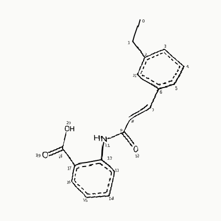 CCc1cccc(C=CC(=O)Nc2ccccc2C(=O)O)c1